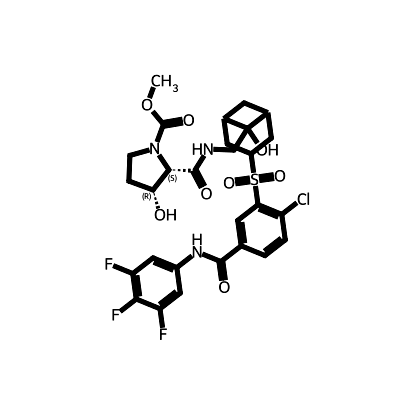 COC(=O)N1CC[C@@H](O)[C@H]1C(=O)NCC1(O)C2CC1CC(S(=O)(=O)c1cc(C(=O)Nc3cc(F)c(F)c(F)c3)ccc1Cl)C2